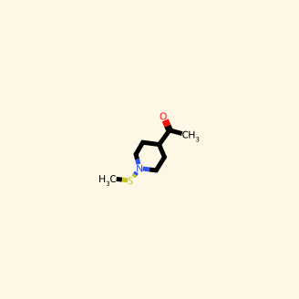 CSN1CCC(C(C)=O)CC1